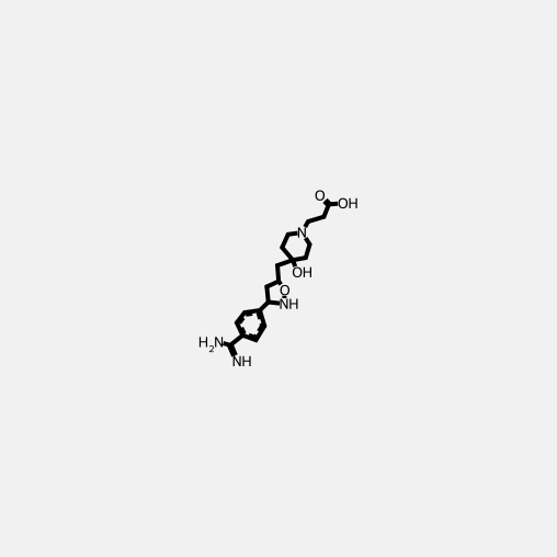 N=C(N)c1ccc(C2CC(CC3(O)CCN(CCC(=O)O)CC3)ON2)cc1